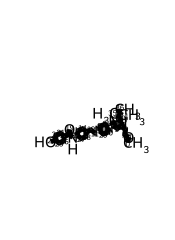 COCCc1cc(N2CCN(CCC3CCC(NC(=O)C4CCC(O)CC4)CC3)CC2)nc(C(C)(C)C)n1